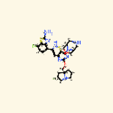 Nc1nc2c(C3=Cc4nc(OC[C@@]56CCCN5C[C@H](F)C6)nc(N5C6CNCC5COC6)c4SN3)ccc(F)c2s1